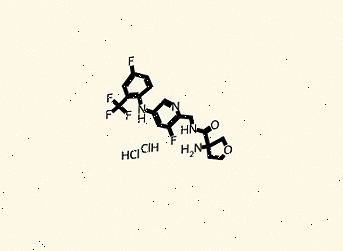 Cl.Cl.NC1(C(=O)NCc2ncc(Nc3ccc(F)cc3C(F)(F)F)cc2F)CCOC1